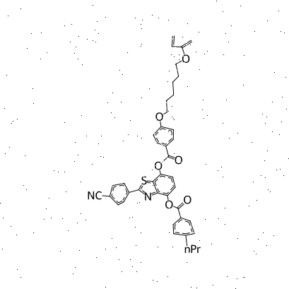 C=CC(=C)OCCCCCCOc1ccc(C(=O)Oc2ccc(OC(=O)c3ccc(CCC)cc3)c3nc(-c4ccc(C#N)cc4)sc23)cc1